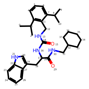 CC(C)c1cccc(C(C)C)c1CNC(=O)NC(Cc1c[nH]c2ccccc12)C(=O)NCC1CCCCC1